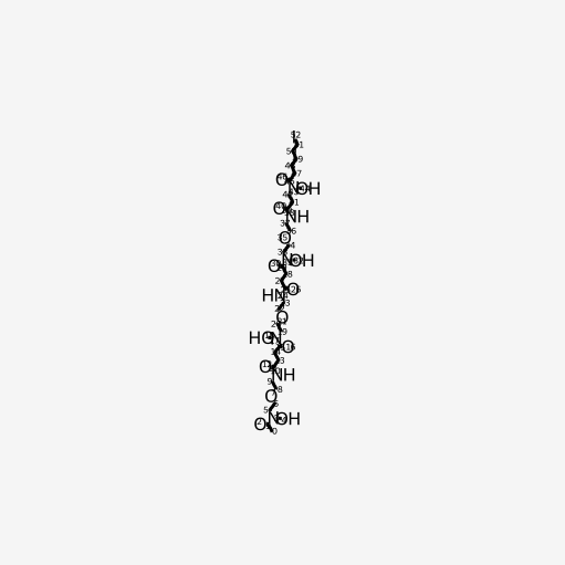 CC(=O)N(O)CCOCCNC(=O)CCC(=O)N(O)CCOCCNC(=O)CCC(=O)N(O)CCOCCNC(=O)CCN(O)C(=O)CCCCCI